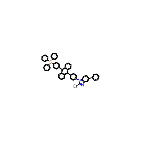 CCc1nc2cc(-c3ccccc3)ccc2n1-c1ccc(-c2c3ccccc3c(-c3ccc(S(c4ccccc4)(c4ccccc4)c4ccccc4)cc3)c3ccccc23)cc1